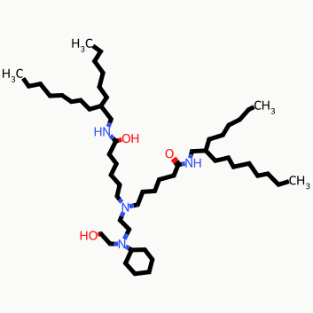 CCCCCCCCC(CCCCCC)CNC(=O)CCCCCN(CCCCCC(O)NCC(CCCCCC)CCCCCCCC)CCN(CCO)C1CCCCC1